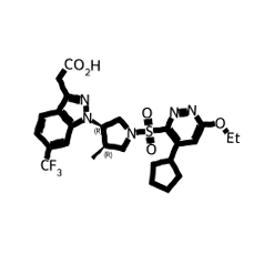 CCOc1cc(C2CCCC2)c(S(=O)(=O)N2C[C@@H](C)[C@@H](n3nc(CC(=O)O)c4ccc(C(F)(F)F)cc43)C2)nn1